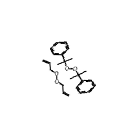 C=CCOOCC=C.CC(C)(OOC(C)(C)c1ccccc1)c1ccccc1